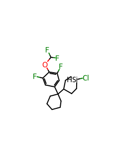 Fc1cc(C2(C3CC[SiH](Cl)CC3)CCCCC2)cc(F)c1OC(F)F